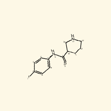 O=C(Nc1ccc(F)cc1)C1CCCNC1